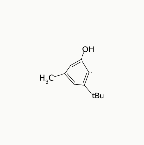 Cc1cc(O)[c]c(C(C)(C)C)c1